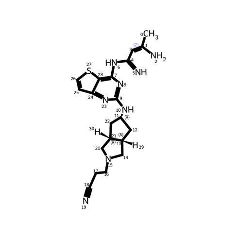 C/C(N)=C/C(=N)Nc1nc(N[C@@H]2C[C@@H]3CN(CCC#N)C[C@@H]3C2)nc2ccsc12